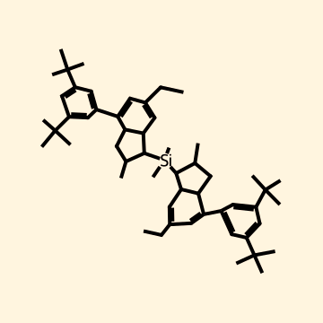 CCC1=CC2C(CC(C)C2[Si](C)(C)C2C(C)CC3C(c4cc(C(C)(C)C)cc(C(C)(C)C)c4)=CC(CC)=CC32)C(c2cc(C(C)(C)C)cc(C(C)(C)C)c2)=C1